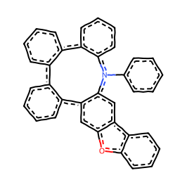 c1ccc(-n2c3ccccc3c3ccccc3c3ccccc3c3cc4oc5ccccc5c4cc32)cc1